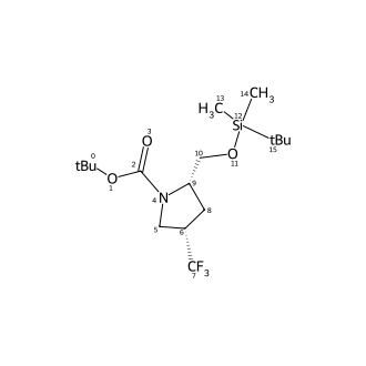 CC(C)(C)OC(=O)N1C[C@@H](C(F)(F)F)C[C@H]1CO[Si](C)(C)C(C)(C)C